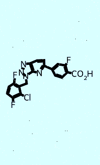 O=C(O)c1ccc(-c2ccc3nnn(Cc4c(F)ccc(F)c4Cl)c3n2)cc1F